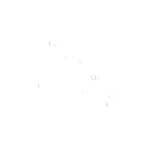 Cc1noc(C)c1C(=O)Nc1cnc(OCC(F)(F)F)c(-c2ccc(Cl)cc2)c1